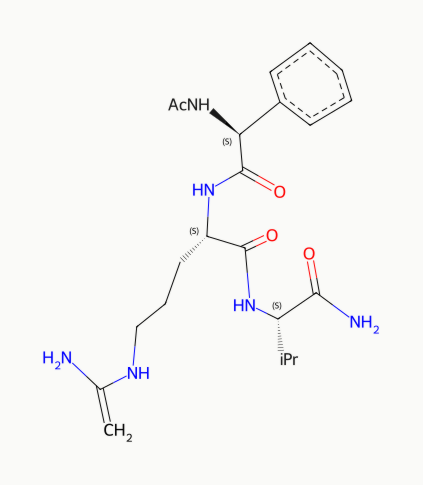 C=C(N)NCCC[C@H](NC(=O)[C@@H](NC(C)=O)c1ccccc1)C(=O)N[C@H](C(N)=O)C(C)C